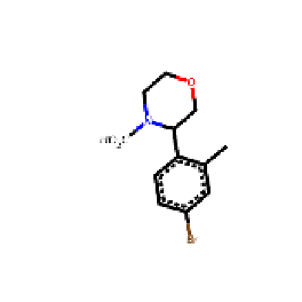 Cc1cc(Br)ccc1C1COCCN1C(=O)O